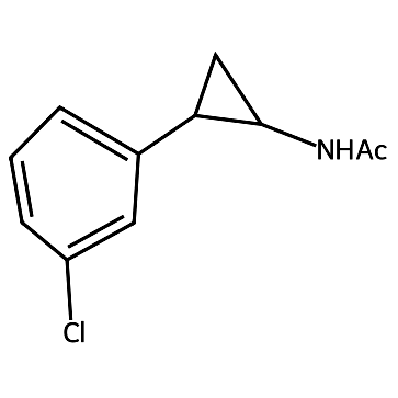 CC(=O)NC1CC1c1cccc(Cl)c1